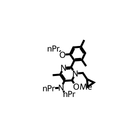 CCCOc1cc(C)cc(C)c1C1=NC(C)=C(N(CCC)CCC)C(OC)N1CC1CC1